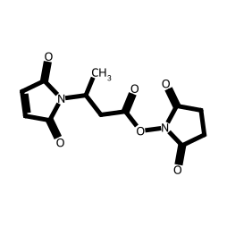 CC(CC(=O)ON1C(=O)CCC1=O)N1C(=O)C=CC1=O